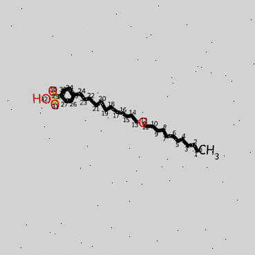 CCCCCCCCCCCCOCCCCCCCCCCCCc1ccc(S(=O)(=O)O)cc1